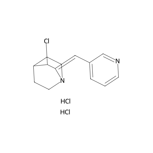 Cl.Cl.ClC1/C(=C/c2cccnc2)N2CCC1CC2